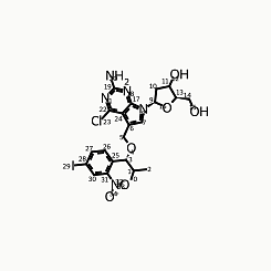 CC(C)[C@@H](OCc1cn([C@H]2CC(O)[C@@H](CO)O2)c2nc(N)nc(Cl)c12)c1ccc(I)cc1[N+](=O)[O-]